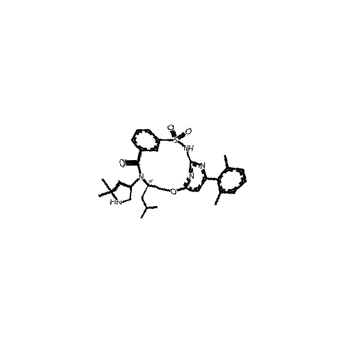 Cc1cccc(C)c1-c1cc2nc(n1)NS(=O)(=O)c1cccc(c1)C(=O)N(C1CNC(C)(C)C1)[C@H](CC(C)C)CO2